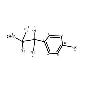 [2H]C([2H])(C=O)C([2H])([2H])c1ccc(C(C)C)cc1